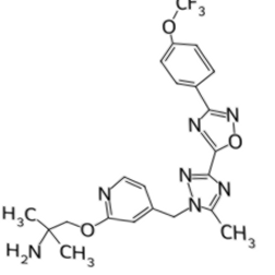 Cc1nc(-c2nc(-c3ccc(OC(F)(F)F)cc3)no2)nn1Cc1ccnc(OCC(C)(C)N)c1